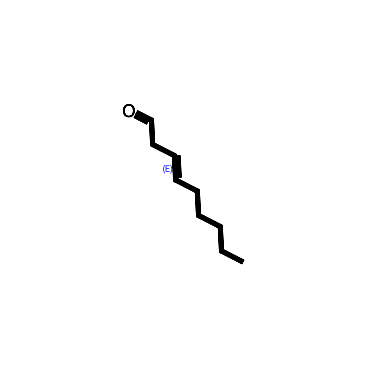 CCCCC/C=C/CC=O